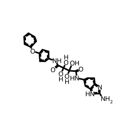 Nc1nc2ccc(NC(=O)C(O)(O)C(O)(O)C(=O)Nc3ccc(Oc4ccccc4)cc3)cc2[nH]1